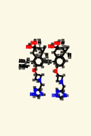 O=C(O)c1c(OC2CN(Cc3nc[nH]n3)C2)ccc2c1C[B-](O)(O)[C@H]1C[C@@H]21.O=C(O)c1c(OC2CN(Cc3nc[nH]n3)C2)ccc2c1C[B-](O)(O)[C@H]1C[C@@H]21.[Na+].[Na+]